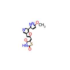 COc1ccc(-c2cncc3cc(/C=C4/SC(=O)NC4=O)oc23)nn1